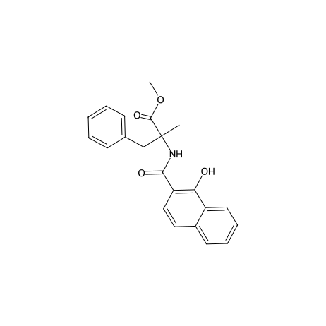 COC(=O)C(C)(Cc1ccccc1)NC(=O)c1ccc2ccccc2c1O